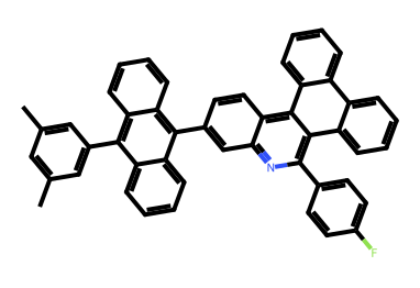 Cc1cc(C)cc(-c2c3ccccc3c(-c3ccc4c(c3)nc(-c3ccc(F)cc3)c3c5ccccc5c5ccccc5c43)c3ccccc23)c1